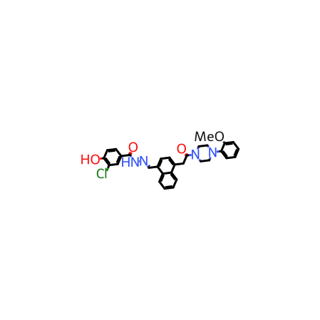 COc1ccccc1N1CCN(C(=O)Cc2ccc(/C=N/NC(=O)c3ccc(O)c(Cl)c3)c3ccccc23)CC1